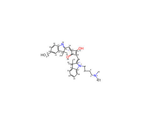 CCN(C)CCCCN1/C(=C/C2=C(O)C(=C/C3=Nc4ccc(S(=O)(=O)O)cc4C3(C)C)/C2=O)C(C)(C)c2ccccc21